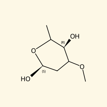 COC1C[C@@H](O)OC(C)[C@H]1O